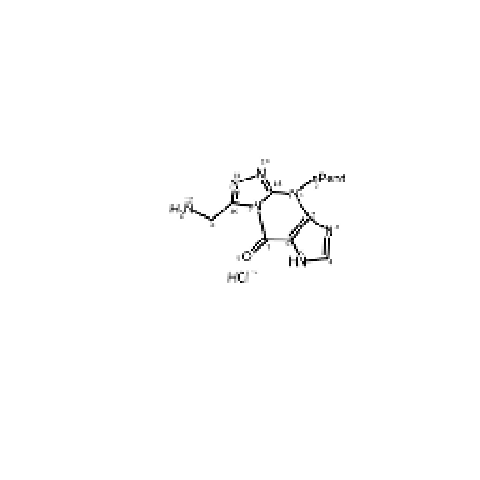 CCCCCn1c2nc[nH]c2c(=O)n2c(CN)nnc12.Cl